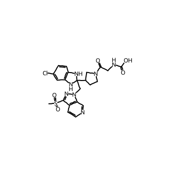 CS(=O)(=O)c1nn(CC2(C3CCN(C(=O)CNC(=O)O)C3)Nc3ccc(Cl)cc3N2)c2cnccc12